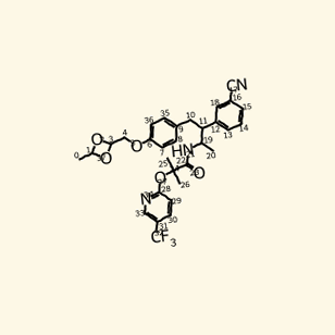 CC1OC(COc2ccc(CC(c3cccc(C#N)c3)C(C)NC(=O)C(C)(C)Oc3ccc(C(F)(F)F)cn3)cc2)O1